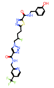 O=C(NCc1cc(C(F)(F)F)ccn1)c1cn(CC(F)CCc2nnc(C(=O)NCc3cccc(O)c3)s2)nn1